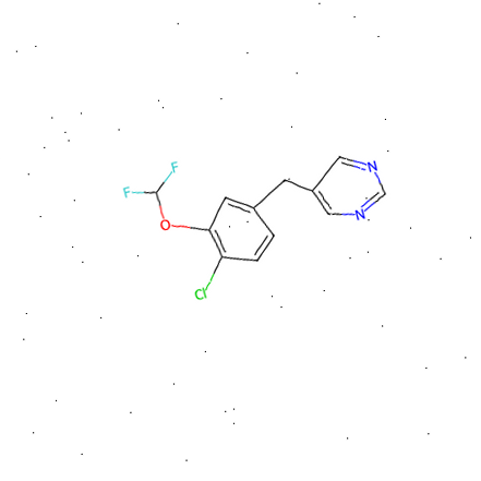 FC(F)Oc1cc([CH]c2cncnc2)ccc1Cl